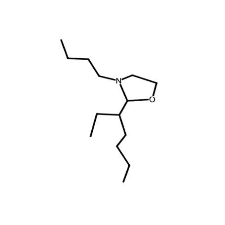 CCCCC(CC)C1OCCN1CCCC